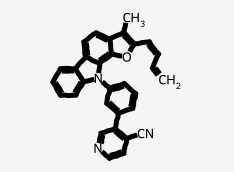 C=C/C=C\c1oc2c(ccc3c4ccccc4n(-c4cccc(-c5cnccc5C#N)c4)c32)c1C